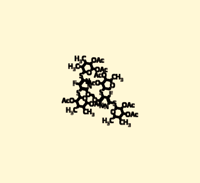 CC(=O)OC1OC(Sc2c(OCOc3nnc(SC4OC(C)C(C)C(OC(C)=O)C4OC(C)=O)c(F)c3SC3COC(C)C(OC(C)=O)C3OC(C)=O)nnc(SC3OC(OC(C)=O)C(OC(C)=O)C(C)C3C)c2F)C(OC(C)=O)C(C)C1C